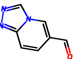 O=Cc1ccc2nncn2c1